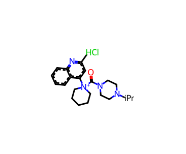 Cc1cc([N+]2(C(=O)N3CCN(C(C)C)CC3)CCCCC2)c2ccccc2n1.Cl